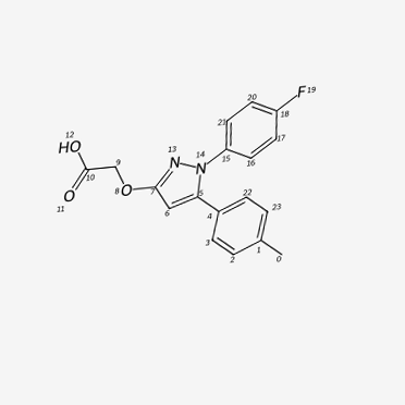 Cc1ccc(-c2cc(OCC(=O)O)nn2-c2ccc(F)cc2)cc1